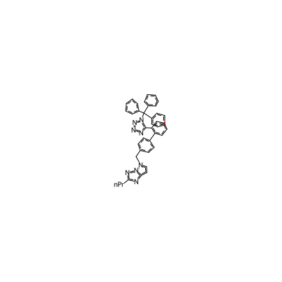 CCCc1nc2ccn(Cc3ccc(-c4ccccc4-c4nnnn4C(c4ccccc4)(c4ccccc4)c4ccccc4)cc3)n2n1